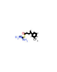 CC(CCC(=O)SC(N)=NN)c1cccc(C(F)(F)F)c1